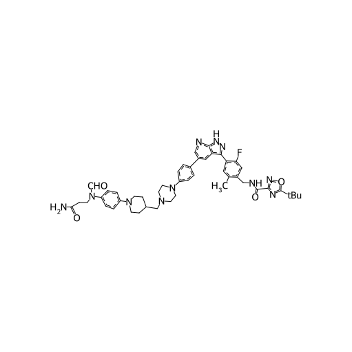 Cc1cc(-c2n[nH]c3ncc(-c4ccc(N5CCN(CC6CCN(c7ccc(N(C=O)CCC(N)=O)cc7)CC6)CC5)cc4)cc23)c(F)cc1CNC(=O)c1noc(C(C)(C)C)n1